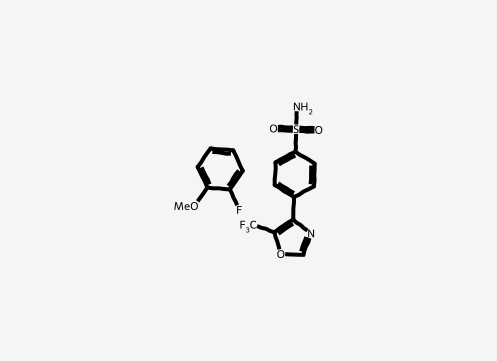 COc1ccccc1F.NS(=O)(=O)c1ccc(-c2ncoc2C(F)(F)F)cc1